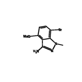 COc1ccc(Br)c2c1c(N)nn2C